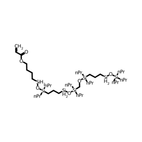 C=CC(=O)OCCCC[SiH2]O[Si](CCC)(CCC)CCC[SiH2]O[Si](CCC)(CCC)CO[Si](CCC)(CCC)CCC[SiH2]O[Si](CCC)(CCC)CCC